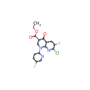 CCOC(=O)c1cn(-c2ccc(F)cn2)c2nc(Cl)c(F)cc2c1=O